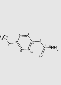 CCc1ccc(CC(N)=S)nc1